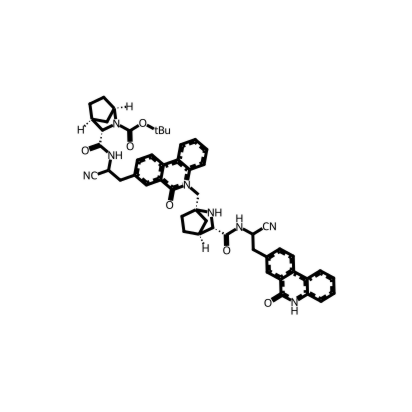 CC(C)(C)OC(=O)N1[C@@H]2CC[C@@H](C2)[C@H]1C(=O)NC(C#N)Cc1ccc2c(c1)c(=O)n(C[C@@]13CC[C@@H](C1)[C@@H](C(=O)NC(C#N)Cc1ccc4c(c1)c(=O)[nH]c1ccccc14)N3)c1ccccc21